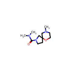 CN1CCOC2(CCN(C(=O)N(C)C)C2)C1